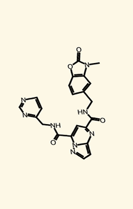 Cn1c(=O)oc2ccc(CNC(=O)c3cc(C(=O)NCc4ccncn4)n4nccc4n3)cc21